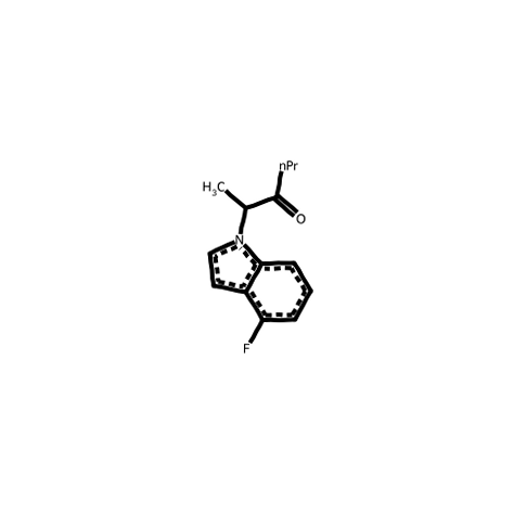 CCCC(=O)C(C)n1ccc2c(F)cccc21